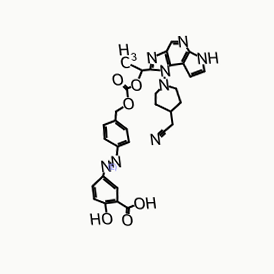 CC(OC(=O)OCc1ccc(/N=N/c2ccc(O)c(C(=O)O)c2)cc1)c1nc2cnc3[nH]ccc3c2n1N1CCC(CC#N)CC1